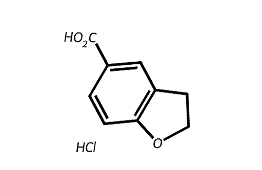 Cl.O=C(O)c1ccc2c(c1)CCO2